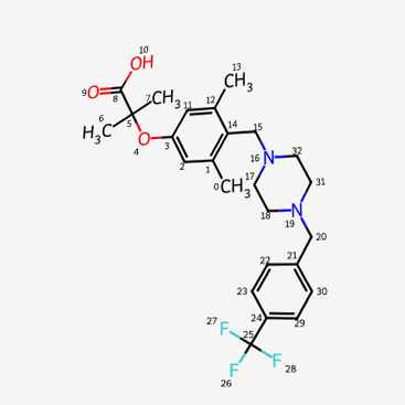 Cc1cc(OC(C)(C)C(=O)O)cc(C)c1CN1CCN(Cc2ccc(C(F)(F)F)cc2)CC1